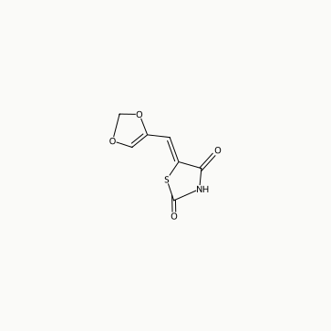 O=C1NC(=O)C(=CC2=COCO2)S1